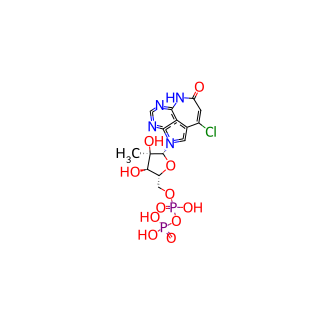 C[C@@]1(O)[C@H](O)[C@@H](COP(=O)(O)OP(=O)(O)O)O[C@H]1n1cc2c3c(ncnc31)NC(=O)C=C2Cl